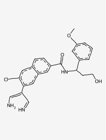 COc1cccc(C(CCO)NC(=O)c2ccc3cc(Cl)c(/C(C=N)=C/N)cc3c2)c1